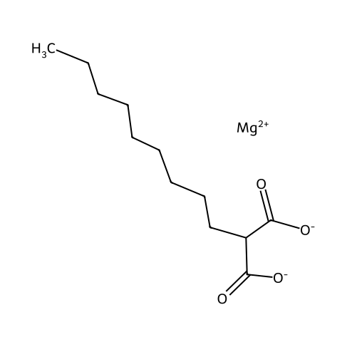 CCCCCCCCCC(C(=O)[O-])C(=O)[O-].[Mg+2]